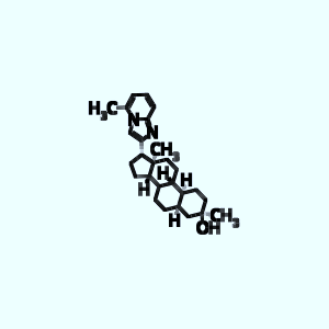 Cc1cccc2nc([C@H]3CC[C@H]4C5CC[C@@H]6C[C@](C)(O)CC[C@@H]6[C@H]5CC[C@]34C)cn12